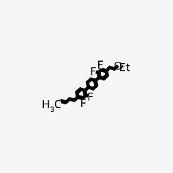 C/C=C/CCc1ccc(C2CC=C(c3ccc(CCOCC)c(F)c3F)CC2)c(F)c1F